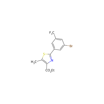 CCOC(=O)c1nc(-c2cc(Br)cc(C(F)(F)F)c2)sc1C